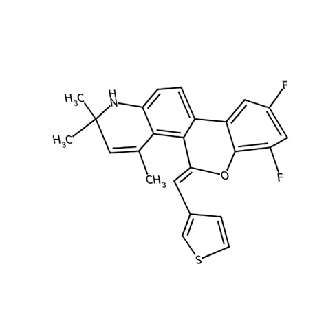 CC1=CC(C)(C)Nc2ccc3c(c21)C(=Cc1ccsc1)Oc1c(F)cc(F)cc1-3